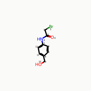 O=C(CBr)Nc1ccc(CO)cc1